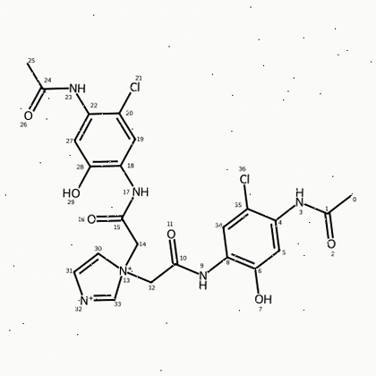 CC(=O)Nc1cc(O)c(NC(=O)C[N+]2(CC(=O)Nc3cc(Cl)c(NC(C)=O)cc3O)C=C[N+]=C2)cc1Cl